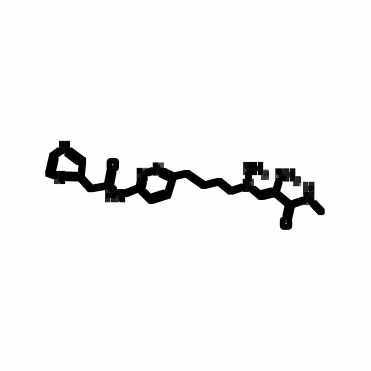 CNC(=O)/C(N)=C/N(N)CCCCc1ccc(NC(=O)Cc2cnccn2)nn1